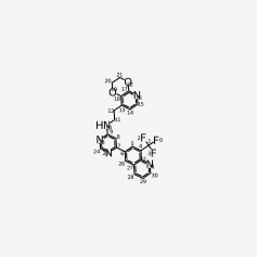 FC(F)(F)c1cc(-c2cc(NCCc3ccnc4c3OCCO4)ncn2)cc2cccnc12